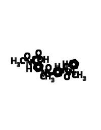 CC(=O)NC(CC(=O)O)c1ccc(N(C)C(=O)Cc2ccc(NC(=O)N(C)c3ccccc3C)cc2)cc1